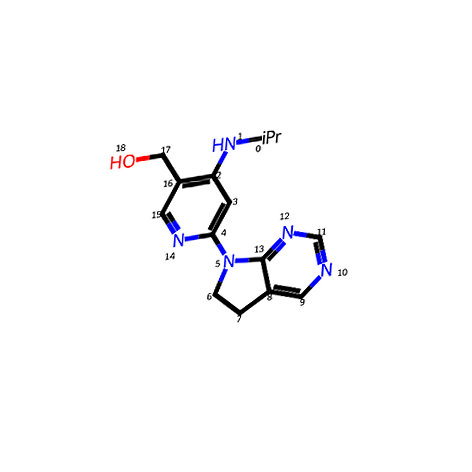 CC(C)Nc1cc(N2CCc3cncnc32)ncc1CO